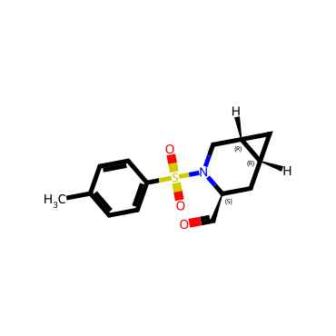 Cc1ccc(S(=O)(=O)N2C[C@@H]3C[C@@H]3C[C@H]2C=O)cc1